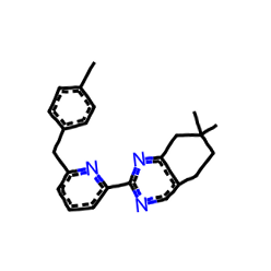 Cc1ccc(Cc2cccc(-c3ncc4c(n3)CC(C)(C)CC4)n2)cc1